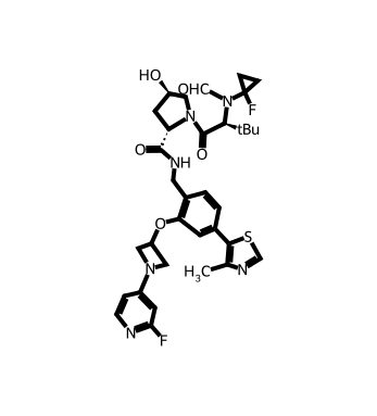 Cc1ncsc1-c1ccc(CNC(=O)[C@@H]2C[C@@H](O)CN2C(=O)[C@@H](N(C=O)C2(F)CC2)C(C)(C)C)c(OC2CN(c3ccnc(F)c3)C2)c1